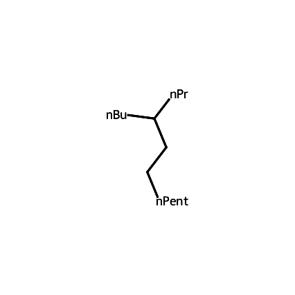 C[CH]CC(CCCC)CCCCCCC